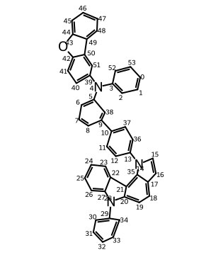 c1ccc(N(c2cccc(-c3ccc(-n4ccc5ccc6c(c7ccccc7n6-c6ccccc6)c54)cc3)c2)c2ccc3oc4ccccc4c3c2)cc1